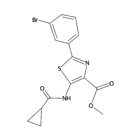 COC(=O)c1nc(-c2cccc(Br)c2)sc1NC(=O)C1CC1